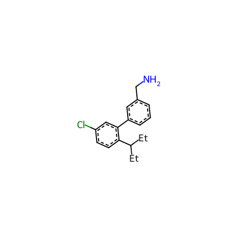 CCC(CC)c1ccc(Cl)cc1-c1cccc(CN)c1